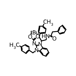 Cc1ccc(CC(CNC(=O)Cc2ccccc2)n2c(=NC(=O)OC(C)(C)C)n(Cc3ccc(C)cc3)c3ccccc32)cc1